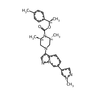 Cc1ccc([C@@H](C)OC(=O)N2[C@H](C)CN(c3cnn4cc(-c5cnn(C)c5)ccc34)C[C@H]2C)cc1